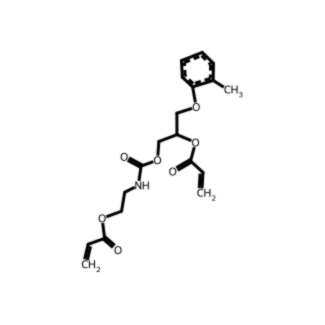 C=CC(=O)OCCNC(=O)OCC(COc1ccccc1C)OC(=O)C=C